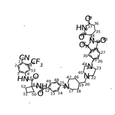 N#Cc1ccc(NC(=O)C2(NC(=O)c3ccc(N4CCC(CN5CCN(c6ccc7c(c6)C(=O)N(C6CCC(=O)NC6=O)C7=O)CC5)CC4)cc3)CCC2)cc1C(F)(F)F